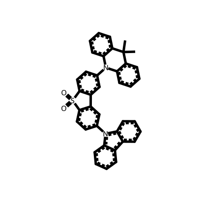 CC1(C)c2ccccc2N(c2ccc3c(c2)-c2cc(-n4c5ccccc5c5ccccc54)ccc2S3(=O)=O)c2ccccc21